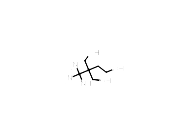 NC(N)(N)C(CO)(CO)CCO